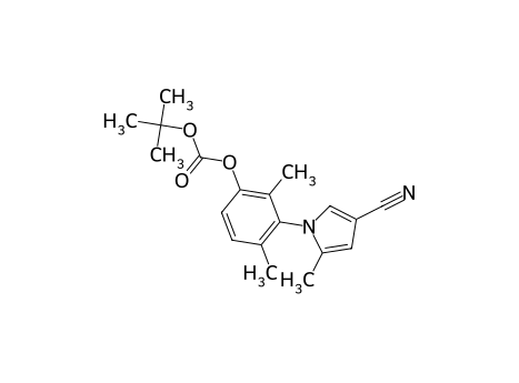 Cc1ccc(OC(=O)OC(C)(C)C)c(C)c1-n1cc(C#N)cc1C